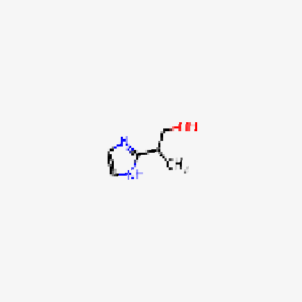 CC(CO)c1ncc[nH]1